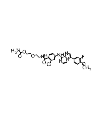 COc1ccc(-c2cnc3c(Nc4ccc(C(=O)NCCOCCOC(N)=O)c(Cl)c4)nccn23)cc1F